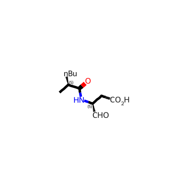 CCCC[C@H](C)C(=O)N[C@H](C=O)CC(=O)O